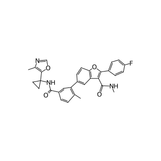 CNC(=O)c1c(-c2ccc(F)cc2)oc2ccc(-c3cc(C(=O)NC4(c5ocnc5C)CC4)ccc3C)cc12